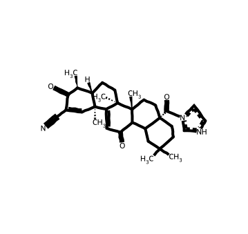 C[C@@H]1C(=O)C(C#N)=C[C@]2(C)C3=CC(=O)C4C5CC(C)(C)CC[C@]5(C(=O)[n+]5cc[nH]c5)CC[C@@]4(C)[C@]3(C)CC[C@@H]12